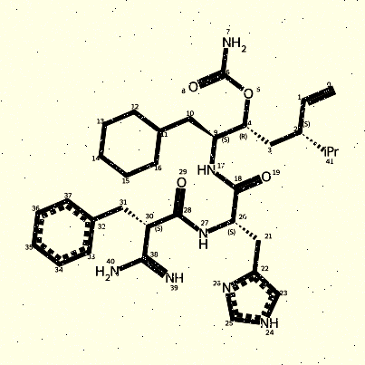 C=C[C@@H](C[C@@H](OC(N)=O)[C@H](CC1CCCCC1)NC(=O)[C@H](Cc1c[nH]cn1)NC(=O)[C@@H](Cc1ccccc1)C(=N)N)C(C)C